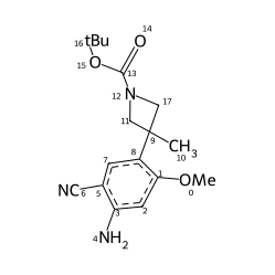 COc1cc(N)c(C#N)cc1C1(C)CN(C(=O)OC(C)(C)C)C1